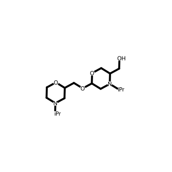 CC(C)N1CCOC(COC2CN(C(C)C)C(CO)CO2)C1